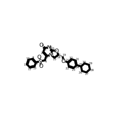 O=c1cc(CS(=O)(=O)c2ccccc2)n2c(n1)O[C@H](COc1ccc(C3CCCCC3)cc1)C2